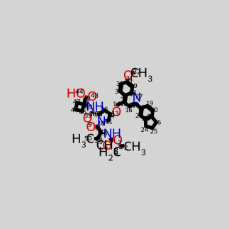 C=C(C)OC(=O)N[C@H](C(=O)N1C[C@H](OCc2cc(-c3ccc4c(c3)CCC4)nc3cc(OC)ccc23)C[C@H]1C(=O)NC1(C(=O)O)CCC1)C(C)C